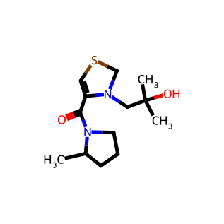 CC1CCCN1C(=O)C1=CSCN1CC(C)(C)O